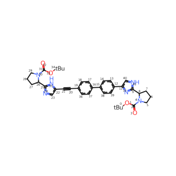 CC(C)(C)OC(=O)N1CCCC1c1nc(-c2ccc(-c3ccc(C#Cc4cnc(C5CCCN5C(=O)OC(C)(C)C)[nH]4)cc3)cc2)c[nH]1